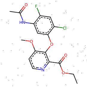 CCOC(=O)c1nccc(OC)c1Oc1cc(NC(C)=O)c(F)cc1Cl